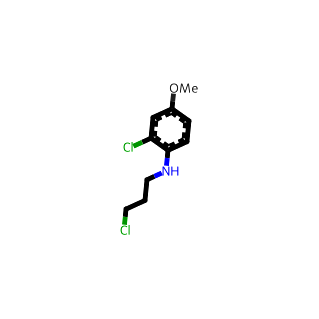 COc1ccc(NCCCCl)c(Cl)c1